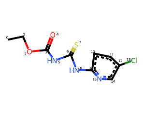 CCOC(=O)NC(=S)Nc1ccc(Cl)cn1